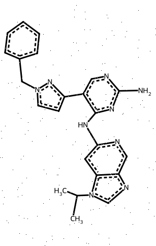 CC(C)n1cnc2cnc(Nc3nc(N)ncc3-c3ccn(Cc4ccccc4)n3)cc21